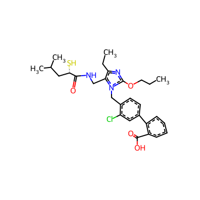 CCCOc1nc(CC)c(CNC(=O)[C@@H](S)CC(C)C)n1Cc1ccc(-c2ccccc2C(=O)O)cc1Cl